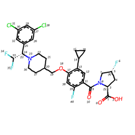 O=C(O)[C@@H]1C[C@@H](F)CN1C(=O)c1cc(C2CC2)c(OCC2CCN([C@@H](c3cc(Cl)cc(Cl)c3)C(F)F)CC2)cc1F